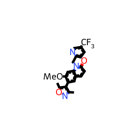 COc1cc2c(ccc(=O)n2Cc2ccc(C(F)(F)F)cn2)cc1-c1c(C)noc1C